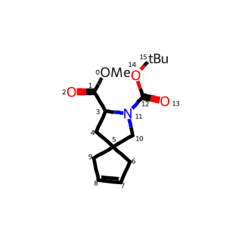 COC(=O)C1CC2(CC=CC2)CN1C(=O)OC(C)(C)C